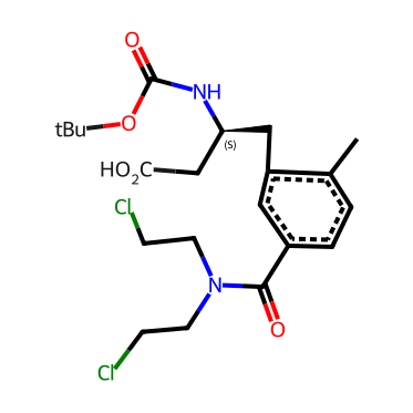 Cc1ccc(C(=O)N(CCCl)CCCl)cc1C[C@@H](CC(=O)O)NC(=O)OC(C)(C)C